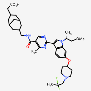 COC[C@@H](C)n1cc(-c2ncc(C(=O)NCC3CC4CC(CC(=O)O)CC(C3)C4)c(C(F)(F)F)n2)c2ccc(OC3CCN(CC(C)(F)F)CC3)cc21